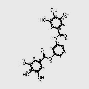 O=C(Oc1cccc(OC(=O)c2cc(O)c(O)c(O)c2)c1)c1cc(O)c(O)c(O)c1